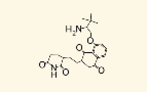 CC(C)(C)[C@H](N)COc1cccc2c1C(=O)C(CCC1CCC(=O)NC1=O)CC2=O